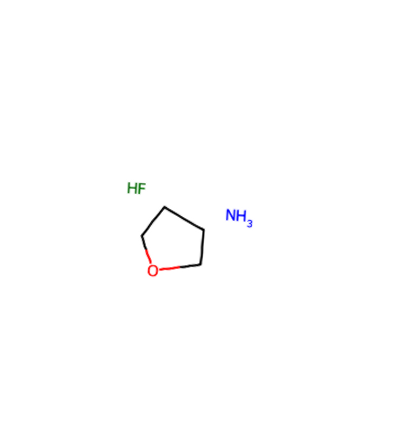 C1CCOC1.F.N